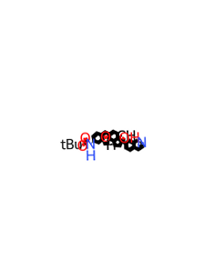 CC(C)(C)OC(=O)N[C@@H]1C=CC2=CC3=CC[C@@]4(C)[C@@H](CCC4(O)c4ccc5ccncc5c4)[C@@]34CC[C@]2(C1)O4